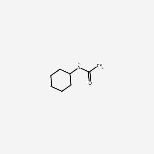 O=C(NC1CC[CH]CC1)C(F)(F)F